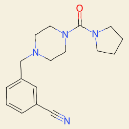 N#Cc1cccc(CN2CCN(C(=O)N3CCCC3)CC2)c1